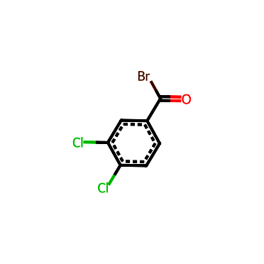 O=C(Br)c1ccc(Cl)c(Cl)c1